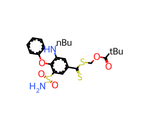 CCCCNc1cc(C(=S)SCOC(=O)C(C)(C)C)cc(S(N)(=O)=O)c1Oc1ccccc1